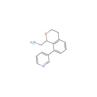 NCC1OCCc2cccc(-c3cccnc3)c21